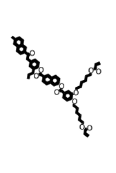 C=CC(=O)OCCCCCCOc1ccc(C(=O)Oc2ccc3cc(C(=O)Oc4ccc(CC(=O)c5ccc6cc(C)ccc6c5)cc4CCC)ccc3c2)cc1OCCCCCCOC(=O)C=C